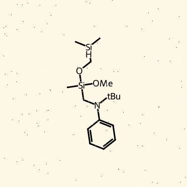 CO[Si](C)(CN(c1ccccc1)C(C)(C)C)OC[SiH](C)C